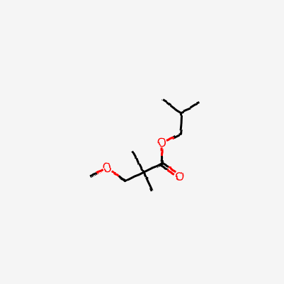 COCC(C)(C)C(=O)OCC(C)C